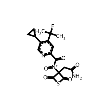 CC(C)(F)c1cc(C(=O)[N+](=O)C2(CC(N)=O)C(=O)SC2=O)ncc1C1CC1